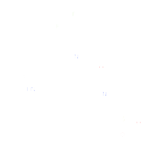 C=C(Nc1ccc(C(=O)N2CCS(=O)(=O)CC2)c(N2CCCC(F)(F)C2)c1)C1CC1